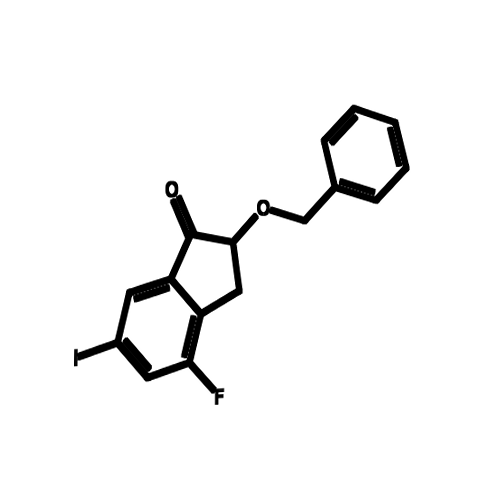 O=C1c2cc(I)cc(F)c2CC1OCc1ccccc1